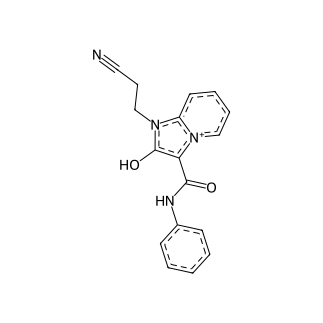 N#CCCn1c(O)c(C(=O)Nc2ccccc2)[n+]2ccccc12